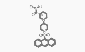 CCN(CC)C(=O)[C@@H]1CCCN(C2CCN(S(=O)(=O)c3c4ccccc4cc4ccccc34)CC2)C1